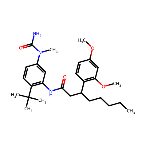 CCCCCC(CC(=O)Nc1cc(N(C)C(N)=O)ccc1C(C)(C)C)c1ccc(OC)cc1OC